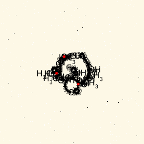 COc1ccc(C[C@@H]2NC(=O)[C@H]([C@@H](C)OC)NC(=O)[C@@H]3CC/C=C\COc4cccc(c4)C[C@H](NC(=O)[C@@H](C)NC(=O)[C@H](C)NC(O)CCSCc4cccc(c4)CSCCNC(=O)[C@]4(C)CCCN4C2=O)C(=O)N[C@@H](Cc2c[nH]c4ccc(F)cc24)C(=O)N3C)cc1